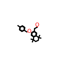 Cc1ccc(COc2cc3c(cc2CC=O)C(C)(C)CCC3(C)C)cc1